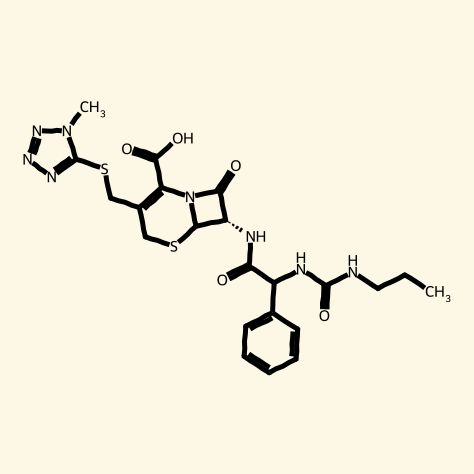 CCCNC(=O)NC(C(=O)N[C@H]1C(=O)N2C(C(=O)O)=C(CSc3nnnn3C)CSC12)c1ccccc1